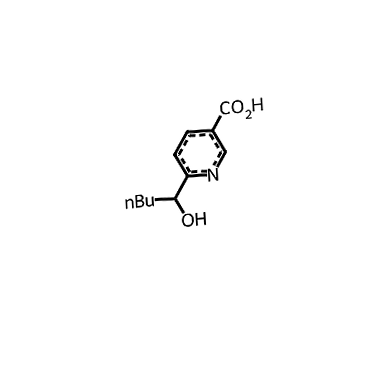 CCCCC(O)c1ccc(C(=O)O)cn1